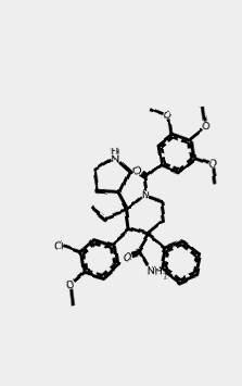 CCC1(C2CCNC2)C(c2ccc(OC)c(Cl)c2)C(C(N)=O)(c2ccccc2)CCN1C(=O)c1cc(OC)c(OC)c(OC)c1